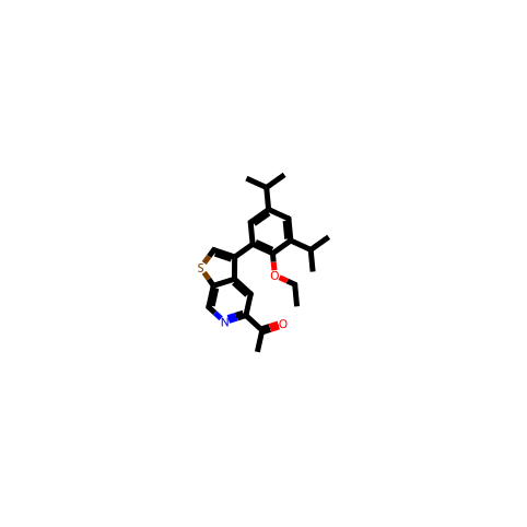 CCOc1c(-c2csc3cnc(C(C)=O)cc23)cc(C(C)C)cc1C(C)C